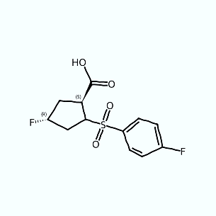 O=C(O)[C@@H]1C[C@@H](F)CC1S(=O)(=O)c1ccc(F)cc1